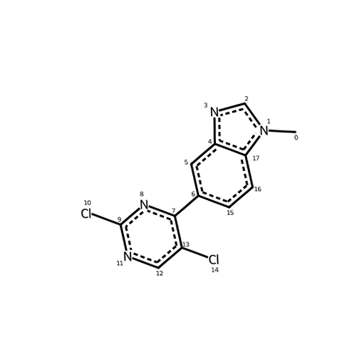 Cn1cnc2cc(-c3nc(Cl)ncc3Cl)ccc21